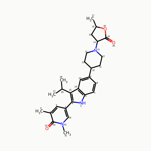 Cc1cc(-c2[nH]c3ccc(C4CCN(C5CC(C)OC5=O)CC4)cc3c2C(C)C)cn(C)c1=O